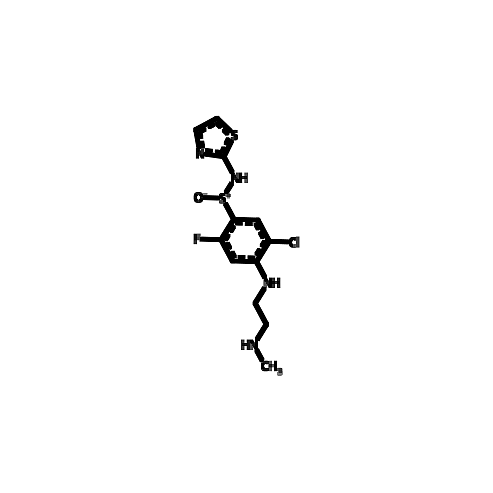 CNCCNc1cc(F)c([S+]([O-])Nc2nccs2)cc1Cl